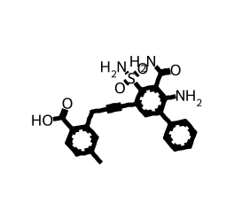 Cc1ccc(C(=O)O)c(CC#Cc2cc(-c3ccccc3)c(N)c(C(N)=O)c2S(N)(=O)=O)c1